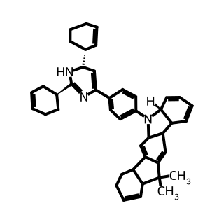 CC1(C)C2=CC3C4C=CC=C[C@H]4N(c4ccc(C5=CC([C@H]6C=CCCC6)NC([C@@H]6CC=CCC6)=N5)cc4)C3C=C2C2CCC=CC21